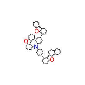 c1ccc2c(c1)ccc1c2oc2cccc(-c3ccc(N(c4ccc(-c5cccc6c5oc5ccccc56)cc4)c4cccc5oc6ccccc6c45)cc3)c21